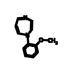 COc1ccccc1N1C=CC=NC=C1